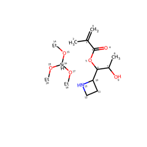 C=C(C)C(=O)OC(C(C)O)C1CCN1.CCO[SiH](OCC)OCC